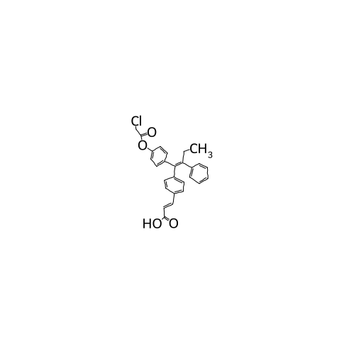 CC/C(=C(/c1ccc(/C=C/C(=O)O)cc1)c1ccc(OC(=O)CCl)cc1)c1ccccc1